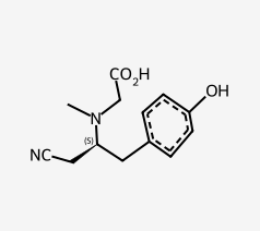 CN(CC(=O)O)[C@H](CC#N)Cc1ccc(O)cc1